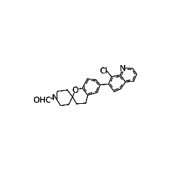 O=CN1CCC2(CCc3cc(-c4ccc5cccnc5c4Cl)ccc3O2)CC1